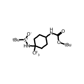 CC(C)(C)OC(=O)NC1CCC(N[S+]([O-])C(C)(C)C)(C(F)(F)F)CC1